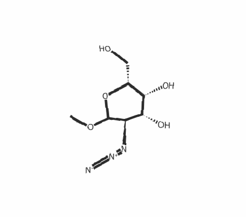 COC1O[C@H](CO)[C@H](O)[C@H](O)[C@H]1N=[N+]=[N-]